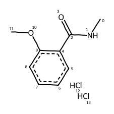 CNC(=O)c1ccccc1OC.Cl.Cl